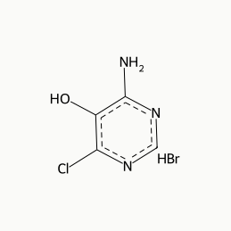 Br.Nc1ncnc(Cl)c1O